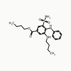 CCCCNc1cc(C(=O)OCCCC)cc(S(N)(=O)=O)c1Nc1ccccc1